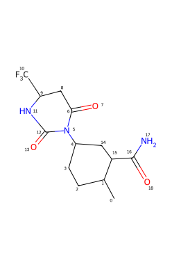 CC1CCC(N2C(=O)CC(C(F)(F)F)NC2=O)CC1C(N)=O